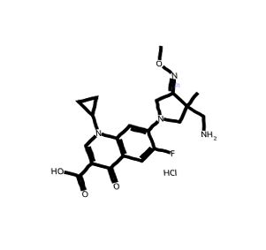 CO/N=C1\CN(c2cc3c(cc2F)c(=O)c(C(=O)O)cn3C2CC2)CC1(C)CN.Cl